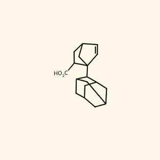 O=C(O)C1CC2C=CC1(C1C3CC4CC(C3)CC1C4)C2